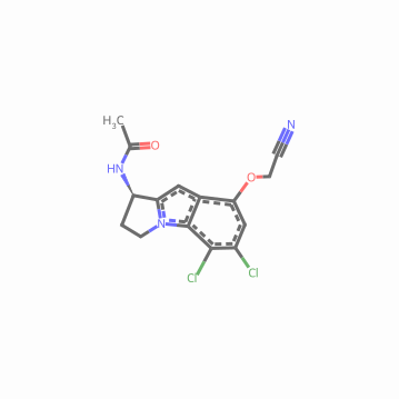 CC(=O)N[C@@H]1CCn2c1cc1c(OCC#N)cc(Cl)c(Cl)c12